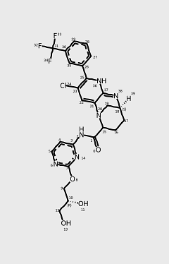 O=C(Nc1ccnc(OC[C@H](O)CO)n1)C1CC[C@H]2CN1C1=CC(Cl)=C(c3cccc(C(F)(F)F)c3)NC1=N2